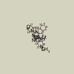 CCOC(=O)/N=C(\N[C@@H](CC1CCCCC1)C(=O)NC1(C#N)CCN(C)CC1)N1CCOCC1